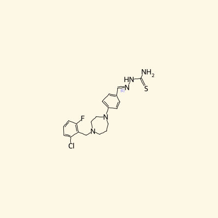 NC(=S)N/N=C/c1ccc(N2CCCN(Cc3c(F)cccc3Cl)CC2)cc1